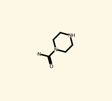 [N]C(=O)N1CCNCC1